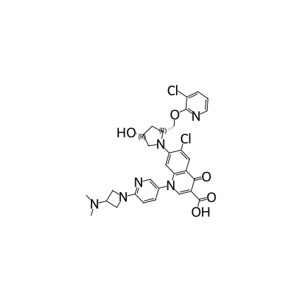 CN(C)C1CN(c2ccc(-n3cc(C(=O)O)c(=O)c4cc(Cl)c(N5C[C@H](O)C[C@@H]5COc5ncccc5Cl)cc43)cn2)C1